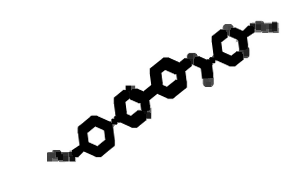 CCCCC[C@H]1CC[C@H](c2cnc(-c3ccc(OC(=O)[C@H]4CO[C@H](CCCCC)OC4)cc3)nc2)CC1